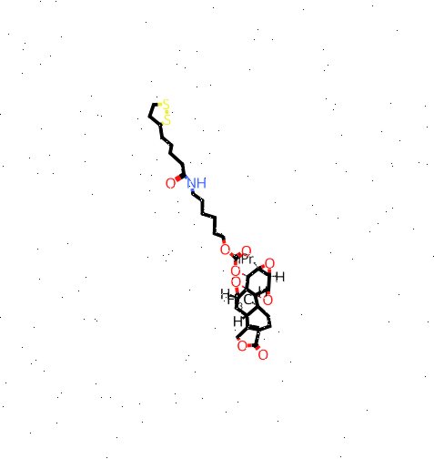 CC(C)[C@]12O[C@H]1[C@@H]1O[C@]13[C@]1(O[C@H]1C[C@H]1C4=C(CC[C@@]13C)C(=O)OC4)[C@@H]2OC(=O)OCCCCCCNC(=O)CCCCC1CCSS1